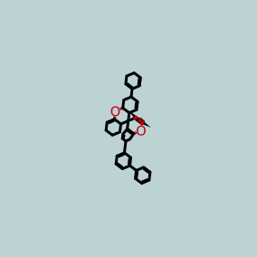 C1=CC(C2C=CC3C(C2)OC2=CCCCC2C32C3=C(CC(c4cccc(-c5ccccc5)c4)C=C3)OC3=C2CCC=C3)=CCC1